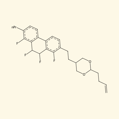 C=CCCC1OCC(CCc2ccc3c(c2F)C(F)C(F)c2c-3ccc(CCC)c2F)CO1